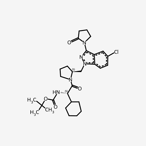 CC(C)(C)OC(=O)N[C@H](C(=O)N1CCC[C@H]1Cn1nc(N2CCCC2=O)c2cc(Cl)ccc21)C1CCCCC1